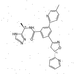 Cc1ccc(-c2cc(C(=O)N[C@H](C)c3nnc[nH]3)cc(C3=NO[C@H](c4ccccn4)C3)c2)nc1